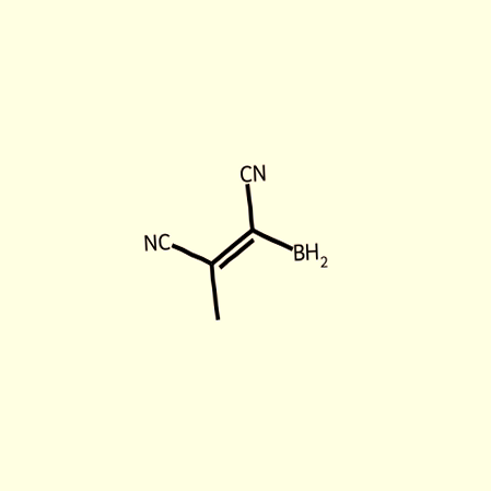 B/C(C#N)=C(\C)C#N